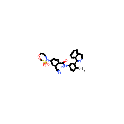 Cc1ccc(NC(=O)c2ccc(N3CCOCS3(=O)=O)cc2C#N)cc1-c1nccc2ccccc12